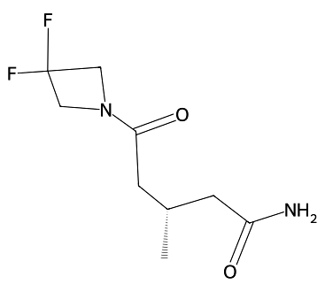 C[C@@H](CC(N)=O)CC(=O)N1CC(F)(F)C1